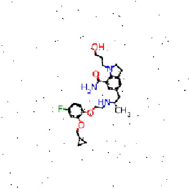 C[C@H](Cc1cc2c(c(C(N)=O)c1)N(CCCO)CC2)NCCOc1ccc(F)cc1OCC1CC1